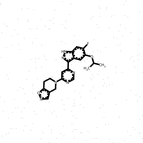 CC(C)Oc1cc2c(-c3cc(N4CCc5oncc5C4)ncn3)n[nH]c2cc1F